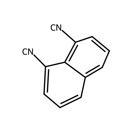 [C-]#[N+]c1cccc2cccc([N+]#[C-])c12